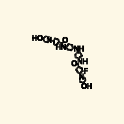 O=C(Nc1ccc(Nc2ccc(NC(=O)c3ccc(N4CCC(O)CC4)c(F)c3)cc2)cc1)c1ccc(N2CCC(O)CC2)cc1